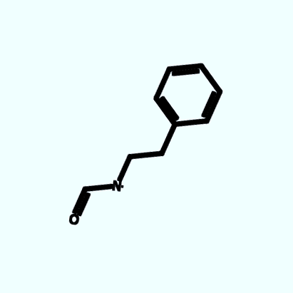 O=C[N]CCc1ccccc1